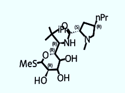 CCC[C@@H]1C[C@@H](C(=O)N[C@@H]([C@H]2OC(SC)[C@H](O)C(O)C2O)C(C)(C)C(C)C)N(C)C1